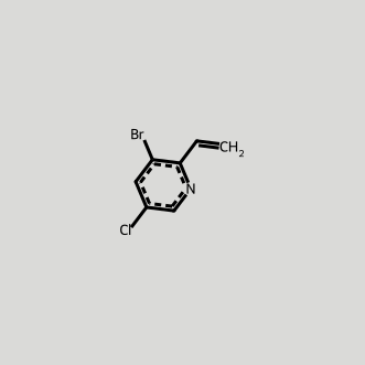 C=Cc1ncc(Cl)cc1Br